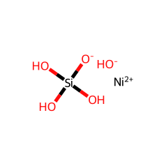 [Ni+2].[O-][Si](O)(O)O.[OH-]